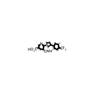 COc1cc(C(=O)O)cnc1N1CCC(c2ccc(C(F)(F)F)cc2)C1